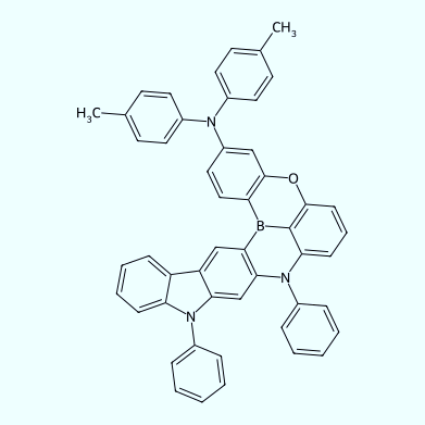 Cc1ccc(N(c2ccc(C)cc2)c2ccc3c(c2)Oc2cccc4c2B3c2cc3c5ccccc5n(-c5ccccc5)c3cc2N4c2ccccc2)cc1